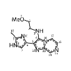 COCCNc1c(-c2c[nH]c(C)n2)nc2cnccn12